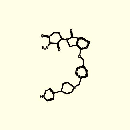 NN1C(=O)CCC(N2Cc3c(OCc4ccc(CN5CCC(C6=CCNC=C6)CC5)cc4)cccc3C2=O)C1=O